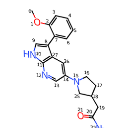 COc1ccccc1-c1c[nH]c2ncc(N3CCC(CC(=O)N(C)C)C3)cc12